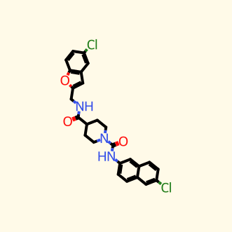 O=C(NCc1cc2cc(Cl)ccc2o1)C1CCN(C(=O)Nc2ccc3cc(Cl)ccc3c2)CC1